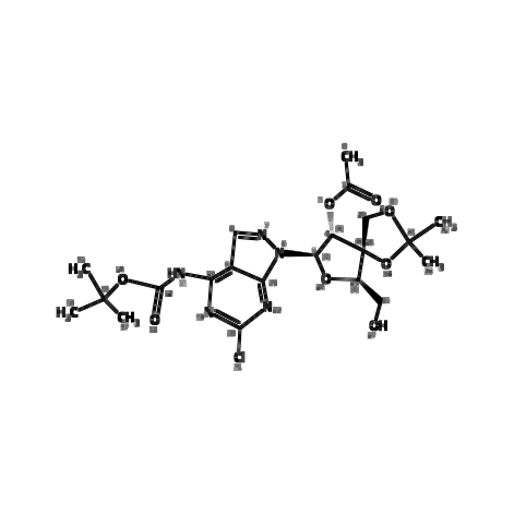 CC(=O)O[C@H]1[C@H](n2ncc3c(NC(=O)OC(C)(C)C)nc(Cl)nc32)O[C@H](CO)[C@]12COC(C)(C)O2